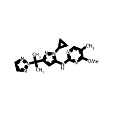 COc1nc(Nc2cc(C(C)(C)n3nccn3)nn2C2CC2)ncc1C